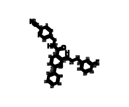 N#Cc1ccc(CNC(=O)c2ccc(-c3ccccc3)nc2NCCc2cccc(F)c2)cn1